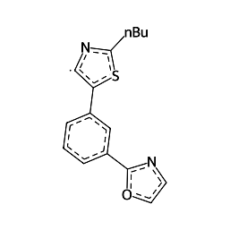 CCCCc1n[c]c(-c2cccc(-c3ncco3)c2)s1